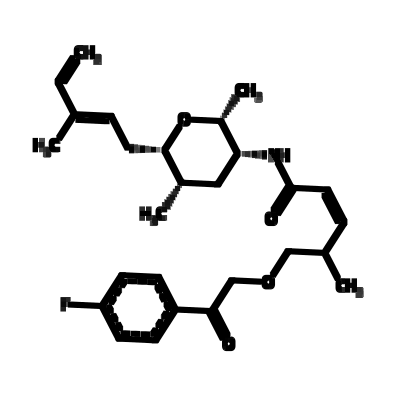 C=C/C(C)=C/C[C@@H]1O[C@H](C)[C@H](NC(=O)/C=C\C(C)COCC(=O)c2ccc(F)cc2)C[C@@H]1C